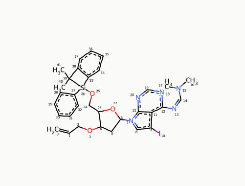 C=CCOC1CC(n2cc(I)c3c(/N=C\N(C)C)ncnc32)OC1CO[Si]1(c2ccccc2)c2ccccc2C1(C)C